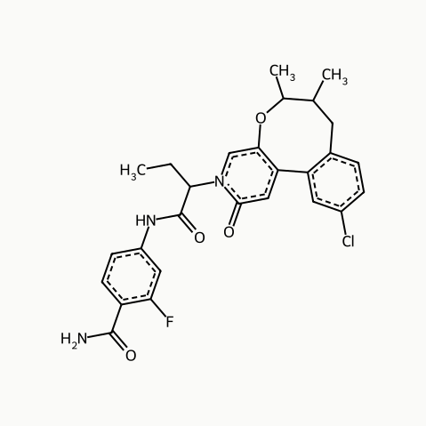 CCC(C(=O)Nc1ccc(C(N)=O)c(F)c1)n1cc2c(cc1=O)-c1cc(Cl)ccc1CC(C)C(C)O2